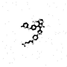 Cc1cccc(Oc2ccc(-c3c(-c4cnn(C5CCN(C(=O)/C=C/CN(C)C)CC5)c4)n(C)c4ncnc(N)c34)cc2)n1